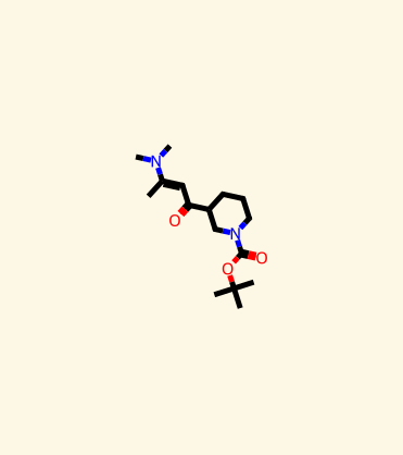 C/C(=C\C(=O)C1CCCN(C(=O)OC(C)(C)C)C1)N(C)C